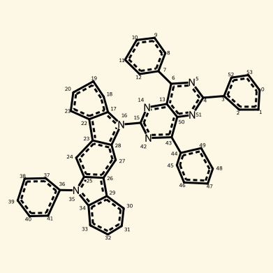 c1ccc(-c2nc(-c3ccccc3)c3nc(-n4c5ccccc5c5cc6c(cc54)c4ccccc4n6-c4ccccc4)nc(-c4ccccc4)c3n2)cc1